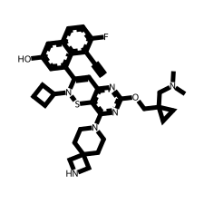 C#Cc1c(F)ccc2cc(O)cc(C3=Cc4nc(OCC5(CN(C)C)CC5)nc(N5CCC6(CC5)CNC6)c4SN3C3CCC3)c12